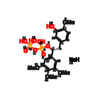 COc1ccc(C[C@@H](OP(=O)(O)OP(=O)(O)O)c2cc(OC)c(OC)c(OC)c2)cc1O.[NaH]